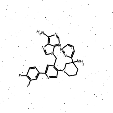 Nc1ncnc2c1ncn2Cc1cc(-c2ccc(F)c(F)c2)ncc1N1CCCC(N)(c2cccnn2)C1